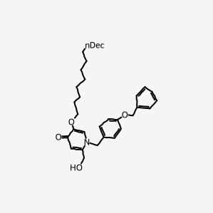 CCCCCCCCCCCCCCCCCCOc1cn(Cc2ccc(OCc3ccccc3)cc2)c(CO)cc1=O